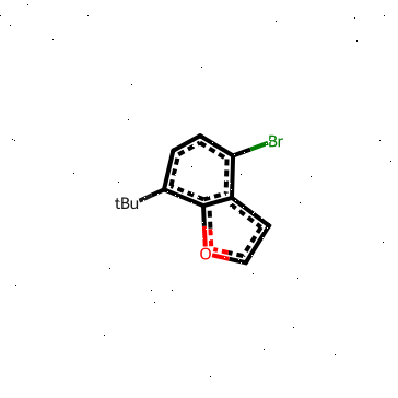 CC(C)(C)c1ccc(Br)c2ccoc12